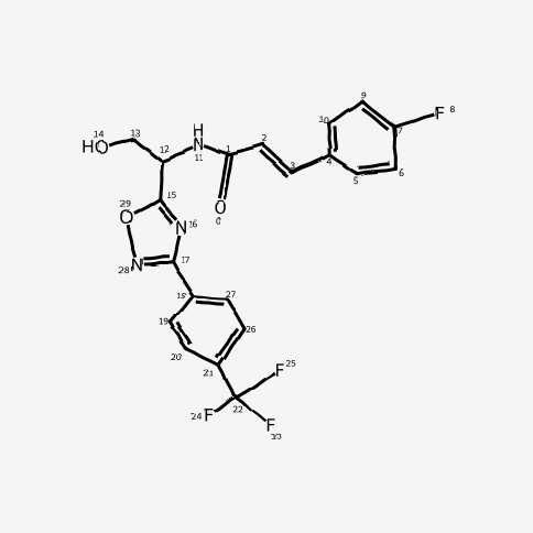 O=C(/C=C/c1ccc(F)cc1)NC(CO)c1nc(-c2ccc(C(F)(F)F)cc2)no1